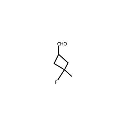 CC1(F)CC(C=O)C1